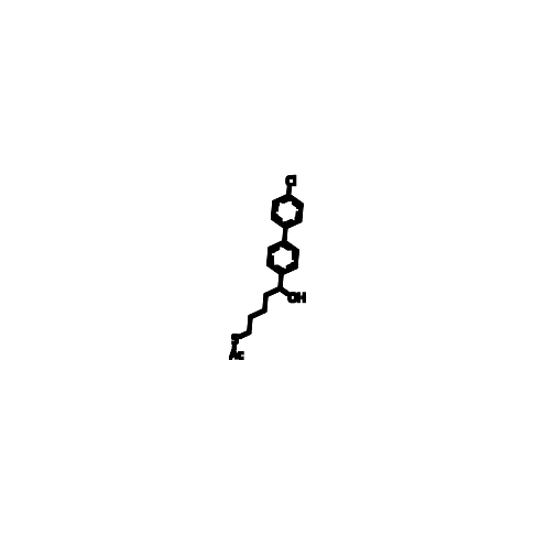 CC(=O)SCCCCC(O)c1ccc(-c2ccc(Cl)cc2)cc1